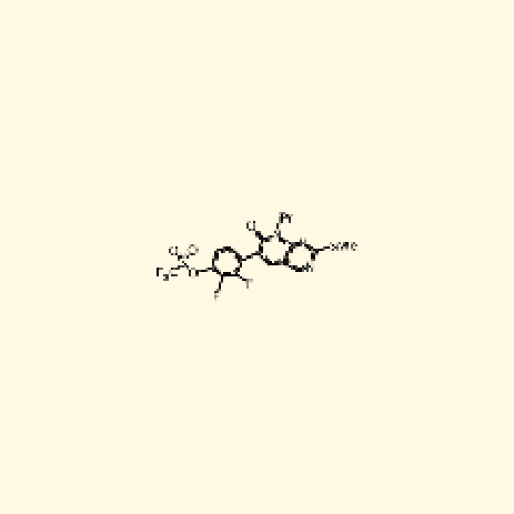 CSc1ncc2cc(-c3ccc(OS(=O)(=O)C(F)(F)F)c(F)c3F)c(=O)n(C(C)C)c2n1